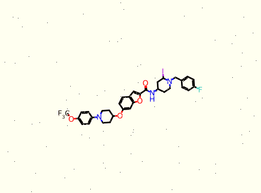 O=C(NC1CCN(Cc2ccc(F)cc2)C(I)C1)c1cc2ccc(OC3CCN(c4ccc(OC(F)(F)F)cc4)CC3)cc2o1